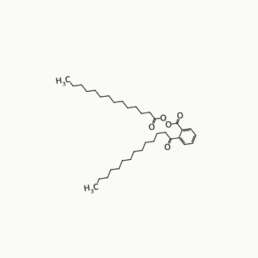 CCCCCCCCCCCCCC(=O)OOC(=O)c1ccccc1C(=O)CCCCCCCCCCCCC